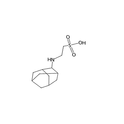 O=S(=O)(O)CCNC1C2CC3CC(C2)CC1C3